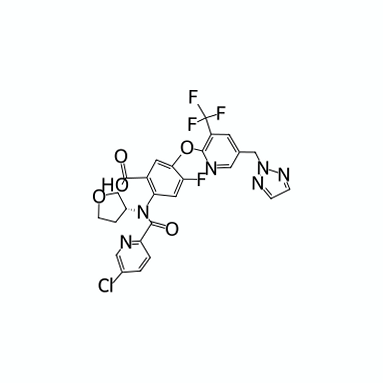 O=C(O)c1cc(Oc2ncc(Cn3nccn3)cc2C(F)(F)F)c(F)cc1N(C(=O)c1ccc(Cl)cn1)[C@@H]1CCOC1